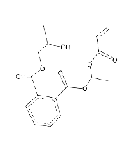 C=CC(=O)OC(C)OC(=O)c1ccccc1C(=O)OCC(C)O